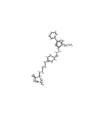 Cc1oc(-c2ccccc2)nc1CCOc1ccc(/C=C/C=C/C=C2\OC(=O)NC2=O)cc1